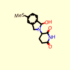 CSc1ccc2c(c1)CN(C1CCC(=O)NC1=O)C2O